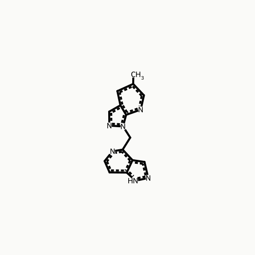 Cc1cnc2c(cnn2Cc2nccc3[nH]ncc23)c1